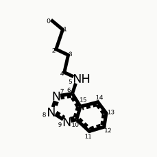 CCCCCNc1nnnc2ccccc12